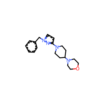 c1ccc(Cn2ccc(N3CCC(N4CCOCC4)CC3)n2)cc1